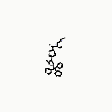 C=C/C(=C\C=C\Cl)C(=O)c1ccc(-c2cn(C(c3ccccc3)(c3ccccc3)c3ccccc3)nc2C)nc1